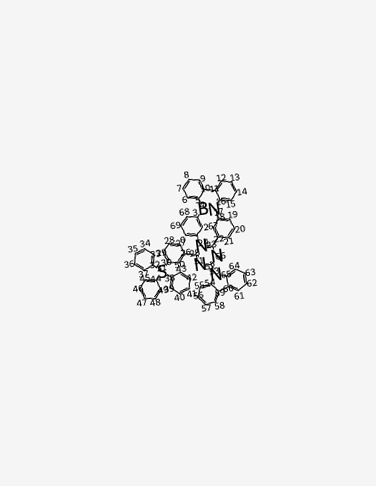 c1ccc(B2c3ccccc3-c3ccccc3N2c2cccc(-c3nc(-c4cccc(S(c5ccccc5)(c5ccccc5)c5ccccc5)c4)nc(-n4c5ccccc5c5ccccc54)n3)c2)cc1